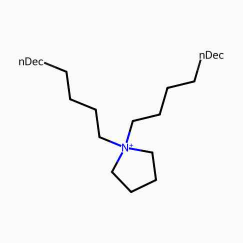 CCCCCCCCCCCCCC[N+]1(CCCCCCCCCCCCCC)CCCC1